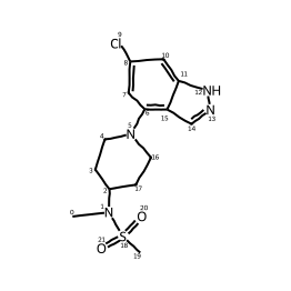 CN(C1CCN(c2cc(Cl)cc3[nH]ncc23)CC1)S(C)(=O)=O